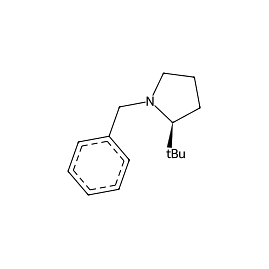 CC(C)(C)[C@@H]1CCCN1Cc1ccccc1